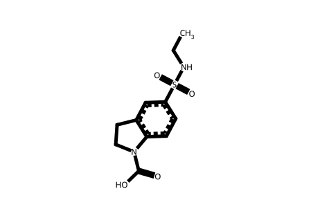 CCNS(=O)(=O)c1ccc2c(c1)CCN2C(=O)O